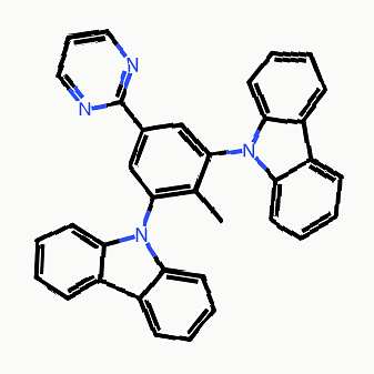 Cc1c(-n2c3ccccc3c3ccccc32)cc(-c2ncccn2)cc1-n1c2ccccc2c2ccccc21